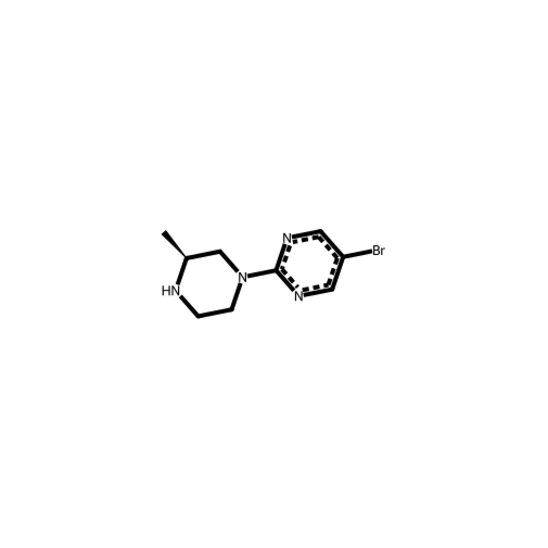 C[C@H]1CN(c2ncc(Br)cn2)CCN1